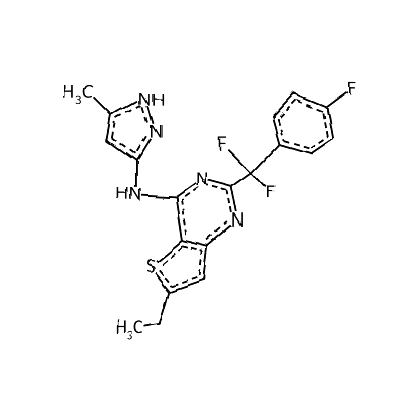 CCc1cc2nc(C(F)(F)c3ccc(F)cc3)nc(Nc3cc(C)[nH]n3)c2s1